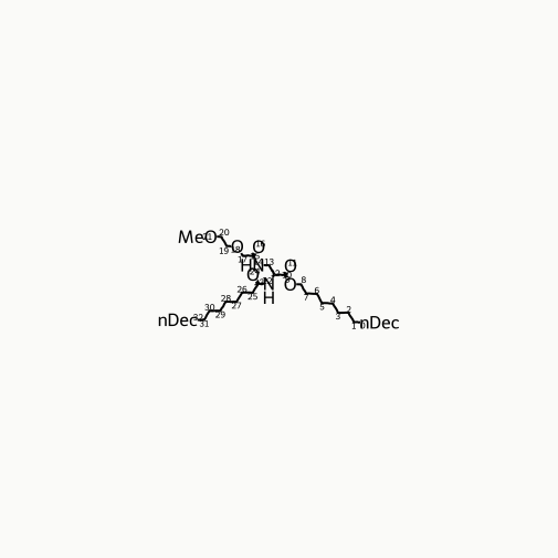 CCCCCCCCCCCCCCCCCCOC(=O)C(CNC(=O)COCCOC)NC(=O)CCCCCCCCCCCCCCCCC